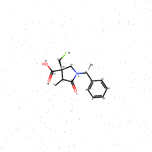 CC1C(=O)N([C@H](C)c2ccccc2)C[C@@]1(CF)C(=O)O